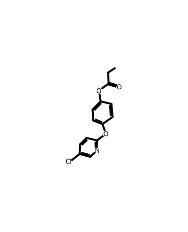 CCC(=O)Oc1ccc(Oc2ccc(Cl)cn2)cc1